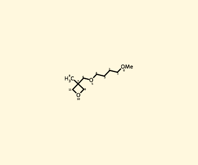 COCCCCOCC1(C)COC1